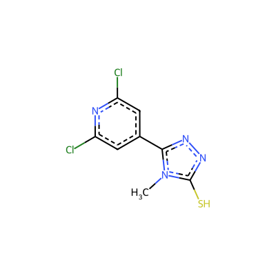 Cn1c(S)nnc1-c1cc(Cl)nc(Cl)c1